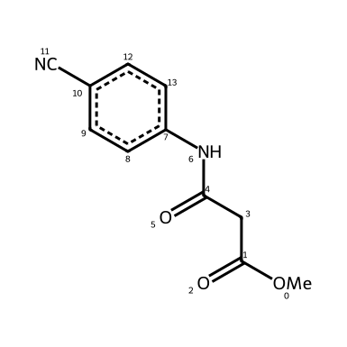 COC(=O)CC(=O)Nc1ccc(C#N)cc1